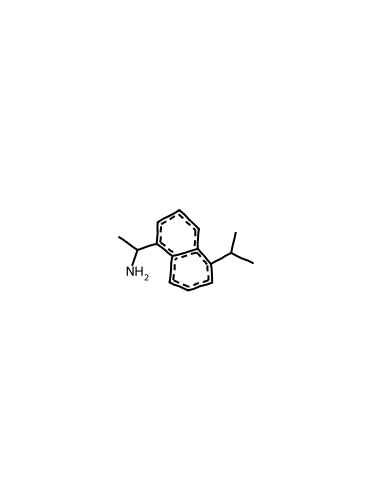 CC(C)c1cccc2c(C(C)N)cccc12